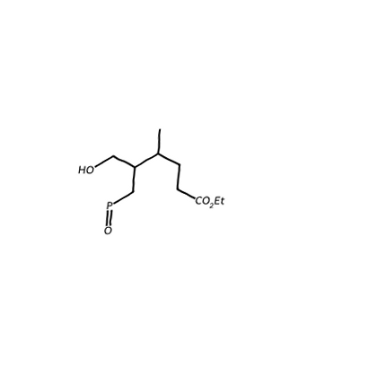 CCOC(=O)CCC(C)C(CO)CP=O